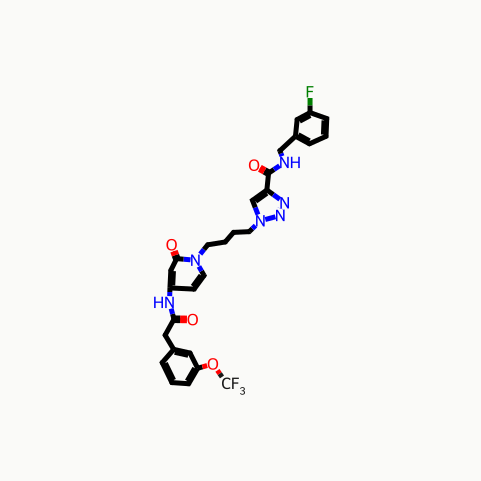 O=C(Cc1cccc(OC(F)(F)F)c1)Nc1ccn(CCCCn2cc(C(=O)NCc3cccc(F)c3)nn2)c(=O)c1